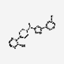 CC(c1cc(-c2cccc(Cl)c2)on1)N1CCN(c2nccnc2C#N)CC1